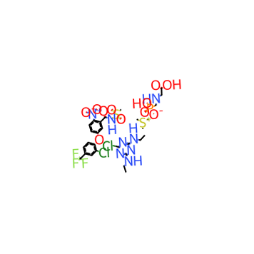 CCNc1nc(Cl)nc(NCC)n1.CS(=O)(=O)NC(=O)c1cc(Oc2ccc(C(F)(F)F)cc2Cl)ccc1[N+](=O)[O-].C[S+](C)C.O=C(O)CNCP(=O)([O-])O